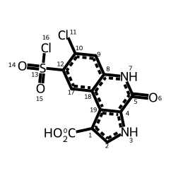 O=C(O)c1c[nH]c2c(=O)[nH]c3cc(Cl)c(S(=O)(=O)Cl)cc3c12